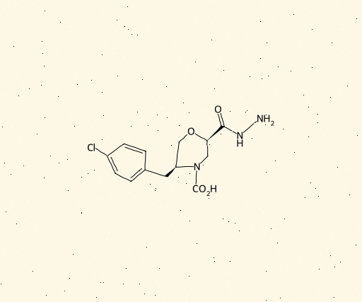 NNC(=O)[C@H]1CN(C(=O)O)[C@@H](Cc2ccc(Cl)cc2)CO1